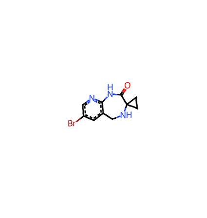 O=C1Nc2ncc(Br)cc2CNC12CC2